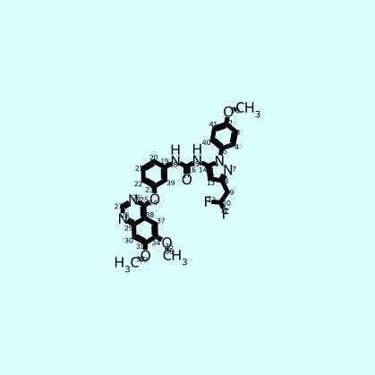 COc1ccc(-n2nc(CC(F)F)cc2NC(=O)Nc2cccc(Oc3ncnc4cc(OC)c(OC)cc34)c2)cc1